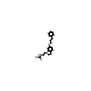 CCC(=O)NCCN1CCc2ccc(OCCCc3ccccc3)cc21